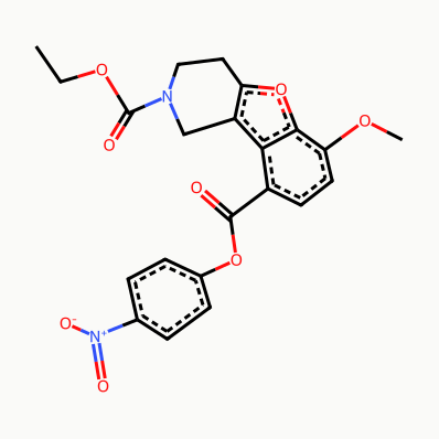 CCOC(=O)N1CCc2oc3c(OC)ccc(C(=O)Oc4ccc([N+](=O)[O-])cc4)c3c2C1